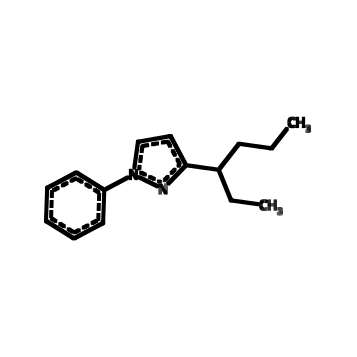 CCCC(CC)c1ccn(-c2ccccc2)n1